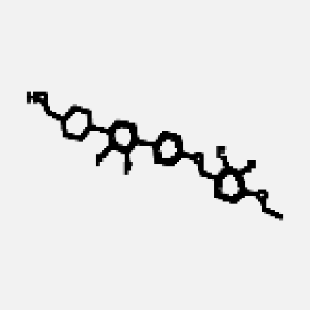 CCOc1ccc(COc2ccc(-c3ccc(C4CCC(CO)CC4)c(F)c3F)cc2)c(F)c1F